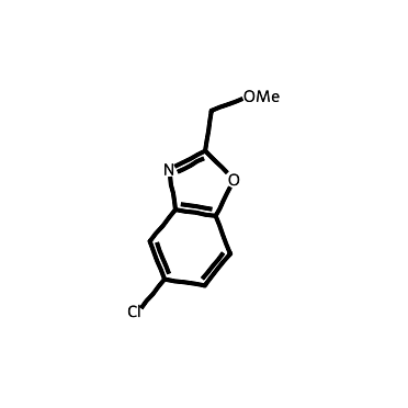 COCc1nc2cc(Cl)ccc2o1